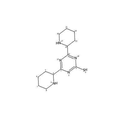 Sc1nc(C2CCCCN2)nc(C2CCCCN2)n1